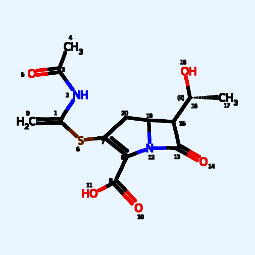 C=C(NC(C)=O)SC1=C(C(=O)O)N2C(=O)C([C@@H](C)O)C2C1